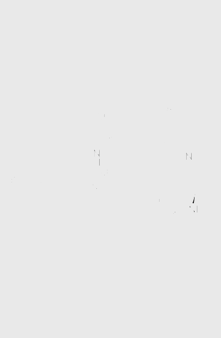 CC[S+]([O-])c1ccc(Cl)cc1CNC(=O)c1ccc(CN2CC[C@@H](NC(C)=O)C2)c(Br)c1